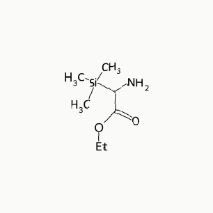 CCOC(=O)C(N)[Si](C)(C)C